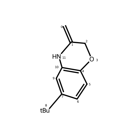 C=C1COc2ccc(C(C)(C)C)cc2N1